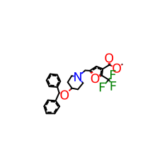 COC(=O)c1cc(CN2CCC(OC(c3ccccc3)c3ccccc3)CC2)oc1C(F)(F)F